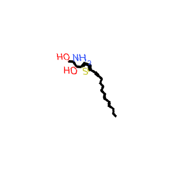 CCCCCCCCCCCC#Cc1ccc(C(O)C(N)CO)s1